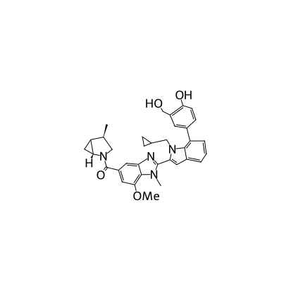 COc1cc(C(=O)N2C[C@H](C)C3C[C@H]32)cc2nc(-c3cc4cccc(-c5ccc(O)c(CO)c5)c4n3CC3CC3)n(C)c12